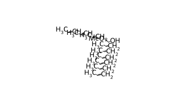 C=CC.C=CC.C=CC.C=CC.C=CC.C=CC.C=CC.C=CC.C=CC.COCCO